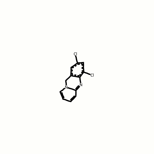 Clc1cc(Cl)c2c(c1)CN1C=CC=CC1=N2